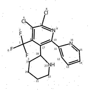 FC(F)(F)c1c(Cl)c(Cl)nc(-c2ccccn2)c1C1CCCCN1